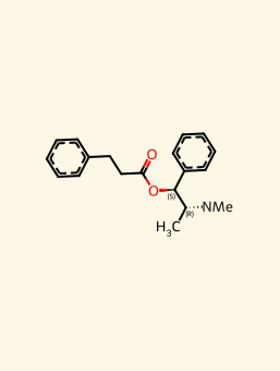 CN[C@H](C)[C@@H](OC(=O)CCc1ccccc1)c1ccccc1